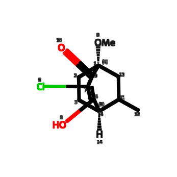 CO[C@@]12CC[C@@H](C(O)=C(Cl)C1=O)C(C)C2